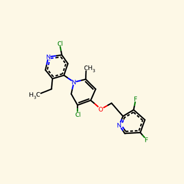 CCc1cnc(Cl)cc1N1CC(Cl)=C(OCc2ncc(F)cc2F)C=C1C